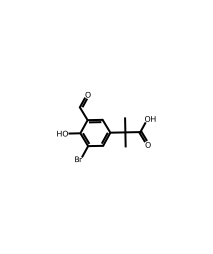 CC(C)(C(=O)O)c1cc(Br)c(O)c(C=O)c1